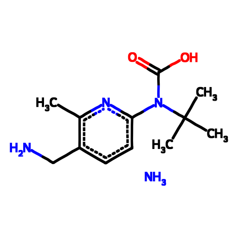 Cc1nc(N(C(=O)O)C(C)(C)C)ccc1CN.N